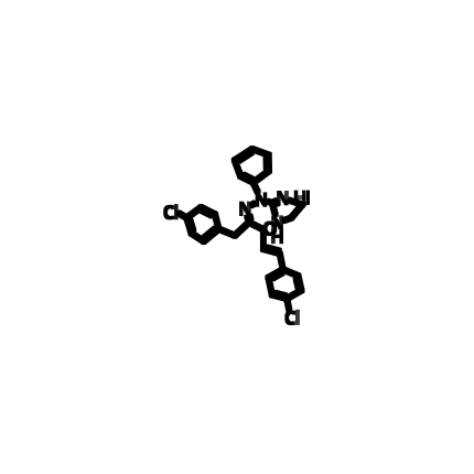 I.O=C(C=Cc1ccc(Cl)cc1)C(Cc1ccc(Cl)cc1)=NN(C1=NCCN1)c1ccccc1